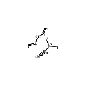 C=COC=C.CC(C)C#N